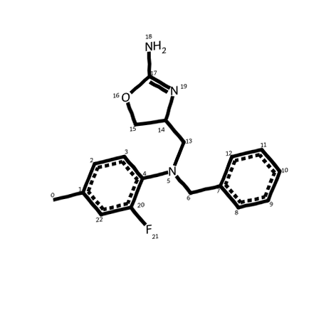 Cc1ccc(N(Cc2ccccc2)CC2COC(N)=N2)c(F)c1